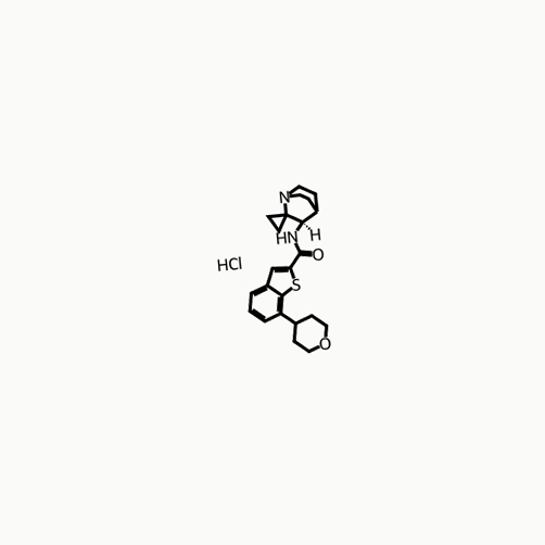 Cl.O=C(N[C@@H]1C2CCN(CC2)C12CC2)c1cc2cccc(C3CCOCC3)c2s1